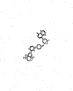 Cc1ccc(N2C[C@H](CN3CCN(c4ccnc(N5C[C@H]6NCCO[C@@H]6C5)n4)CC3)O[C@H](C)C2)c2nccnc12